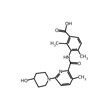 Cc1ccc(N2CCC(O)CC2)nc1C(=O)Nc1c(C)ccc(C(=O)O)c1C